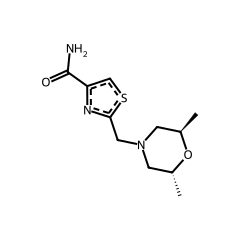 C[C@@H]1CN(Cc2nc(C(N)=O)cs2)C[C@@H](C)O1